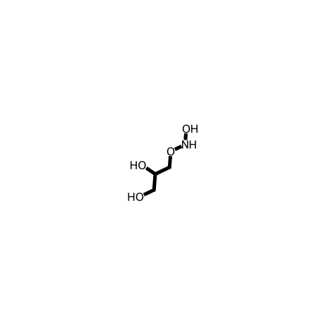 OCC(O)CONO